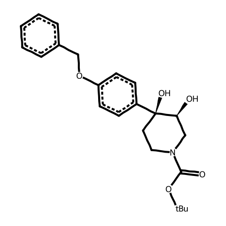 CC(C)(C)OC(=O)N1CC[C@](O)(c2ccc(OCc3ccccc3)cc2)[C@@H](O)C1